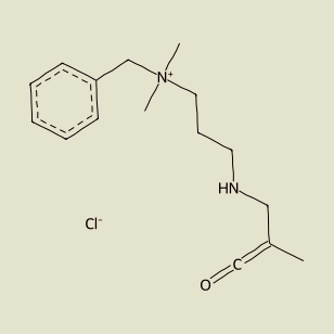 CC(=C=O)CNCCC[N+](C)(C)Cc1ccccc1.[Cl-]